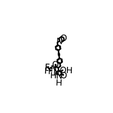 O=C(NCC(F)(F)F)C(Cc1ccc(C#Cc2ccc(CN3CCOCC3)cc2)cc1)c1nc[nH]c(=O)c1O